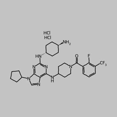 Cl.Cl.N[C@H]1CC[C@H](Nc2nc(NC3CCN(C(=O)c4cccc(C(F)(F)F)c4F)CC3)c3ncn(C4CCCC4)c3n2)CC1